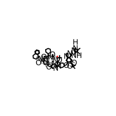 Cc1[nH]nc(Nc2ncnc3cc(OC4CCN(c5ccc(O[C@H]6C[C@@H](C(=O)N[C@@H]7CCCc8ccccc87)N(C(=O)[C@@H](NC(=O)[C@H](C)N(C)C(=O)OC(C)(C)C)C7CCCCC7)C6)cn5)CC4)c(S(=O)(=O)C(C)(C)C)cc23)c1C